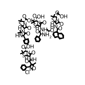 CC1(C)S[C@@H]2[C@H](N3C(=O)C(c4ccccc4)NC3(C)C)C(=O)N2[C@H]1C(=O)O.CC1(C)S[C@@H]2[C@H](NC(=O)[C@H](N)c3ccccc3)C(=O)N2[C@H]1C(=O)O.CCOc1ccc2ccccc2c1C(=O)N[C@@H]1C(=O)N2[C@@H]1SC(C)(C)[C@@H]2C(=O)O.Cc1onc(-c2ccccc2Cl)c1C(=O)N[C@@H]1C(=O)N2[C@@H]1SC(C)(C)[C@@H]2C(=O)O